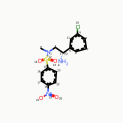 CN(C[C@@H](N)c1cccc(Cl)c1)S(=O)(=O)c1ccc([N+](=O)[O-])cc1